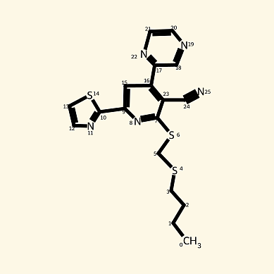 CCCCSCSc1nc(-c2nccs2)cc(-c2cnccn2)c1C#N